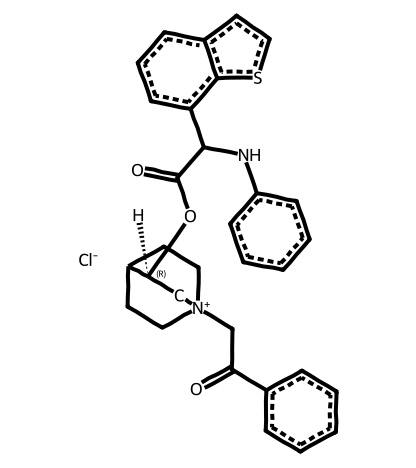 O=C(C[N+]12CCC(CC1)[C@@H](OC(=O)C(Nc1ccccc1)c1cccc3ccsc13)C2)c1ccccc1.[Cl-]